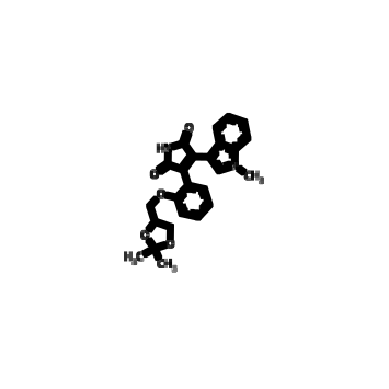 Cn1cc(C2=C(c3ccccc3OCC3COC(C)(C)O3)C(=O)NC2=O)c2ccccc21